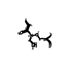 C=CC(=O)N(CO)OCC(C)C